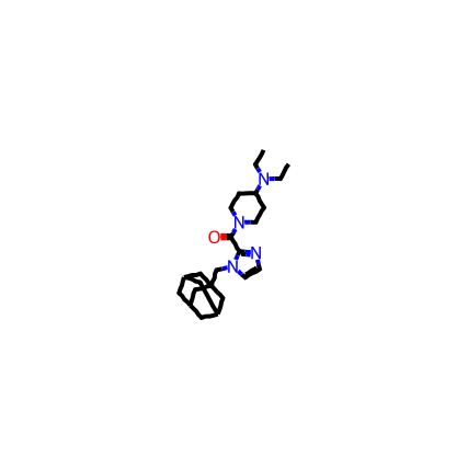 CCN(CC)C1CCN(C(=O)c2nccn2CC23CC4CC(CC(C4)C2)C3)CC1